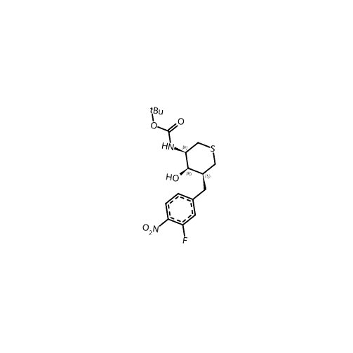 CC(C)(C)OC(=O)N[C@H]1CSC[C@@H](Cc2ccc([N+](=O)[O-])c(F)c2)[C@H]1O